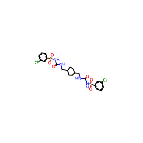 O=C(NCC1CCC(CNC(=O)NS(=O)(=O)c2cccc(Cl)c2)CC1)NS(=O)(=O)c1cccc(Cl)c1